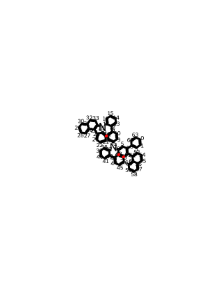 c1ccc(-c2cc(N(c3ccc(-c4ccccc4-n4c5ccccc5c5c6ccccc6ccc54)cc3)c3ccccc3-c3ccccc3)ccc2-c2cccc3ccccc23)cc1